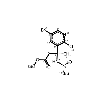 CC(C)(C)OC(=O)C[C@](C)(N[S@+]([O-])C(C)(C)C)c1cc(Br)cnc1Cl